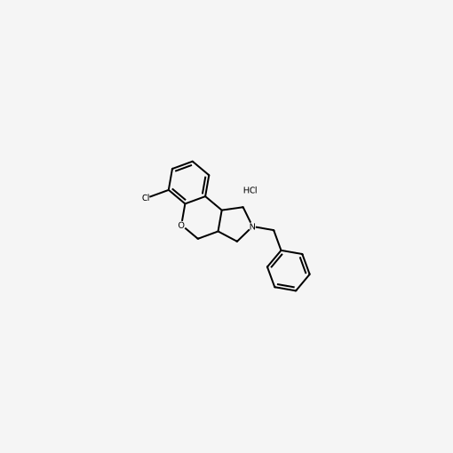 Cl.Clc1cccc2c1OCC1CN(Cc3ccccc3)CC21